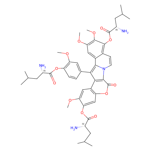 COc1cc(-c2c3c4cc(OC)c(OC(=O)[C@@H](N)CC(C)C)cc4oc(=O)c3n3ccc4c(OC(=O)[C@@H](N)CC(C)C)c(OC)c(OC)cc4c23)ccc1OC(=O)[C@@H](N)CC(C)C